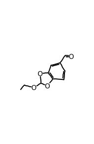 CCOC1Oc2ccc(C=O)cc2O1